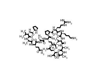 CC(C)[C@H](NC(=O)[C@@H]1CCCN1)C(=O)N[C@@H](C)C(=O)N[C@@H](CCC(N)=O)C(=O)N[C@@H](C)C(=O)N[C@@H](CCCCN)C(=O)N1CCC[C@H]1C(=O)N[C@@H](CCCNC(=N)N)C(=O)N[C@@H](CCCCN)C(=O)N[C@H](C(=O)N[C@@H](C)C(=O)N[C@@H](C)C(=O)N[C@@H](CCC(N)=O)C(=O)O)C(C)C